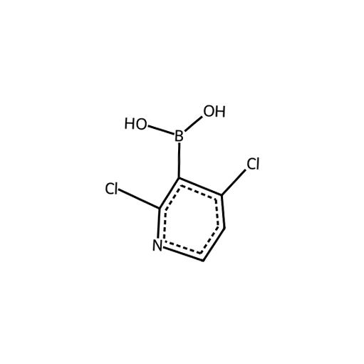 OB(O)c1c(Cl)ccnc1Cl